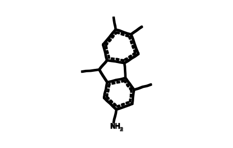 Cc1cc2c(cc1C)C(C)c1cc(N)cc(C)c1-2